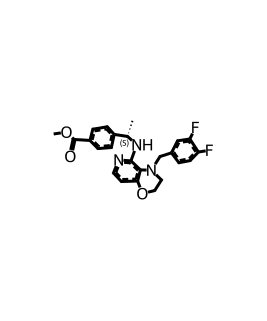 COC(=O)c1ccc([C@H](C)Nc2nccc3c2N(Cc2ccc(F)c(F)c2)CCO3)cc1